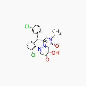 CCN1C[C@@H](C(c2cccc(Cl)c2)c2cccc(Cl)c2)n2ncc(=O)c(O)c2C1=O